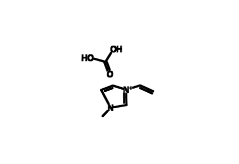 C=C[n+]1ccn(C)c1.O=C(O)O